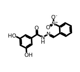 O=C(NN=Cc1ccccc1[N+](=O)[O-])c1cc(O)cc(O)c1